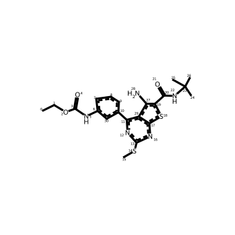 CCOC(=O)Nc1cccc(-c2nc(SC)nc3sc(C(=O)NC(C)(C)C)c(N)c23)c1